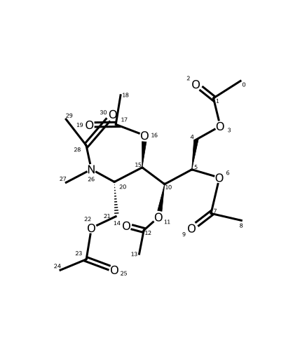 CC(=O)OC[C@@H](OC(C)=O)[C@@H](OC(C)=O)[C@H](OC(C)=O)[C@H](COC(C)=O)N(C)C(C)=O